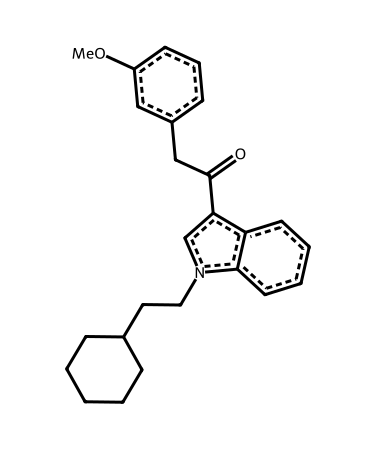 COc1cccc(CC(=O)c2cn(CCC3CCCCC3)c3ccccc23)c1